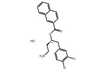 Cl.NC[CH][C@H](Cc1ccc(Cl)c(Cl)c1)OC(=O)c1ccc2ccccc2c1